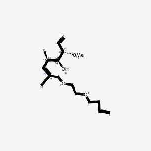 C=CCCOCCOC/C(C)=C\[C@@H](C)[C@H](O)[C@H](C=C)OC